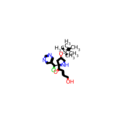 CC(C)(C)[Si](C)(C)O[C@H]1CN[C@@](C(=O)C=CCO)(C(Cl)c2cncnc2)C1